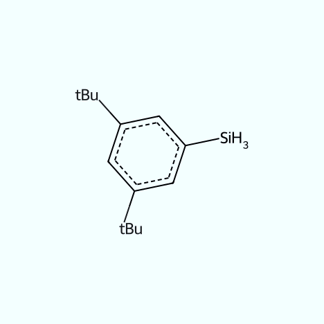 CC(C)(C)c1cc([SiH3])cc(C(C)(C)C)c1